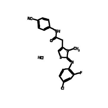 Cl.Cn1c(CC(=O)Nc2ccc(C#N)cc2)csc1=Nc1ccc(Cl)cc1F